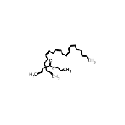 C=CCOC(=O)C(CC=C)(CC=C)CC/C=C\C/C=C\C/C=C\C/C=C\CCCCC